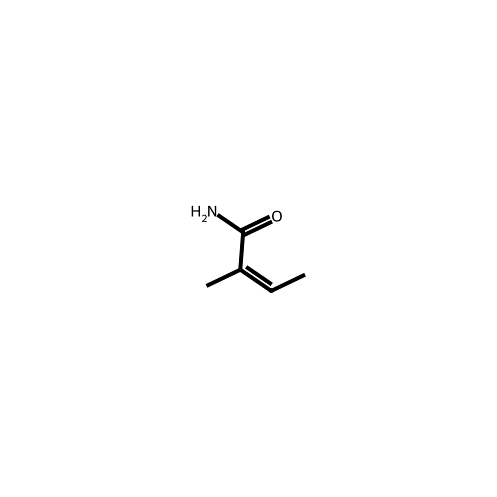 CC=C(C)C(N)=O